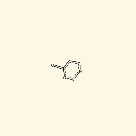 O=c1ccnno1